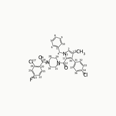 Cc1cn(Cc2ccccc2)c(C(=O)N2CCN(C(=O)c3ccc(F)cc3Cl)CC2)c1-c1ccc(Cl)cc1